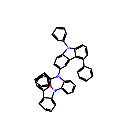 c1ccc(-c2cccc3c2c2cc(N(c4ccccc4)c4ccccc4-n4c5ccccc5c5ccccc54)ccc2n3-c2ccccc2)cc1